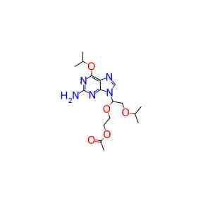 CC(=O)OCCOC(COC(C)C)n1cnc2c(OC(C)C)nc(N)nc21